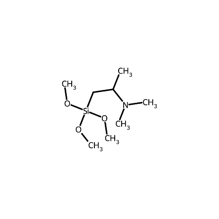 CO[Si](CC(C)N(C)C)(OC)OC